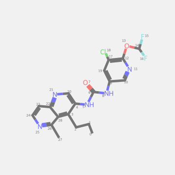 CCCc1c(NC(=O)Nc2cnc(OC(F)F)c(Cl)c2)cnc2ccnc(C)c12